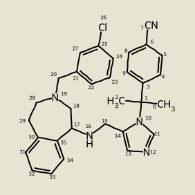 CC(C)(c1ccc(C#N)cc1)n1cncc1CNC1CN(Cc2cccc(Cl)c2)CCc2ccccc21